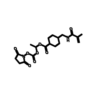 C=C(C)C(=O)NCC1CCC(C(=O)OC(C)OC(=O)ON2C(=O)CCC2=O)CC1